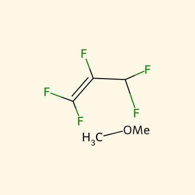 COC.FC(F)=C(F)C(F)F